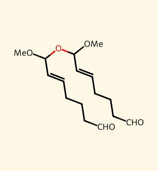 COC(C=CCCCC=O)OC(C=CCCCC=O)OC